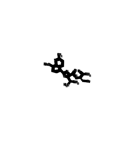 COc1ccc(-c2nc(C(=O)N[C@@H](CC(C)C)C(N)=O)c([C@H](C)N)o2)c2ccc(C(F)(F)F)nc12